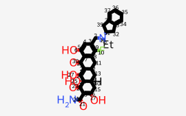 CCN(Cc1cc(O)c2c(c1F)CC1C[C@H]3CC(O)=C(C(N)=O)C(=O)[C@@]3(O)C(O)=C1C2=O)C1Cc2ccccc2C1